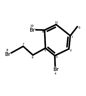 Cc1cc(Br)c(CCBr)c(Br)c1